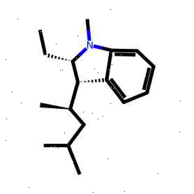 CC[C@H]1[C@@H]([C@H](C)CC(C)C)c2ccccc2N1C